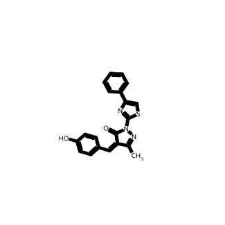 CC1=NN(c2nc(-c3ccccc3)cs2)C(=O)/C1=C\c1ccc(O)cc1